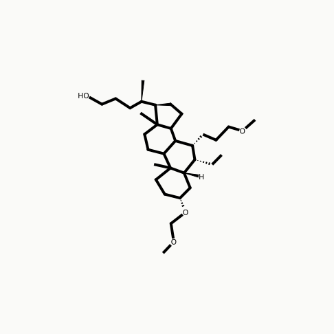 CC[C@H]1[C@@H](CCCOC)C2C3CC[C@H]([C@H](C)CCCO)C3(C)CCC2C2(C)CC[C@@H](OCOC)C[C@@H]12